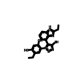 CCc1nc2c(-c3c(S)nnn3-c3cc(CC)c(O)cc3O)cccc2[nH]1